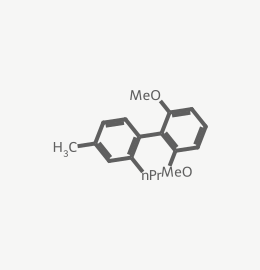 CCCc1cc(C)ccc1-c1c(OC)cccc1OC